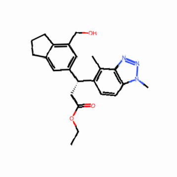 CCOC(=O)C[C@H](c1cc(CO)c2c(c1)CCC2)c1ccc2c(nnn2C)c1C